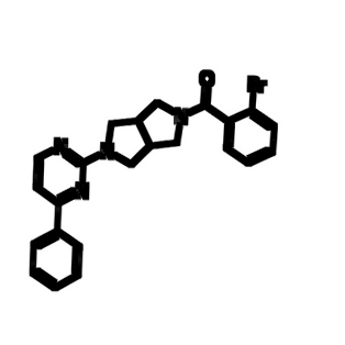 O=C(c1ccccc1Br)N1CC2CN(c3nccc(-c4ccccc4)n3)CC2C1